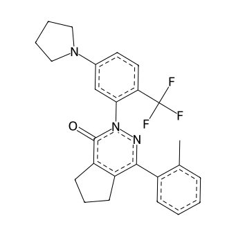 Cc1ccccc1-c1nn(-c2cc(N3CCCC3)ccc2C(F)(F)F)c(=O)c2c1CCC2